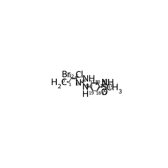 C=C/C(Br)=C(Cl)\N=C(/N)Nc1ccc(S(C)(=N)=O)cc1